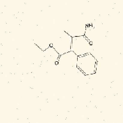 CCOC(=O)C(=C(C)C(N)=O)c1ccccc1